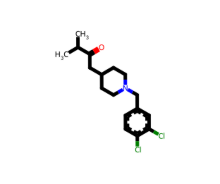 CC(C)C(=O)CC1CCN(Cc2ccc(Cl)c(Cl)c2)CC1